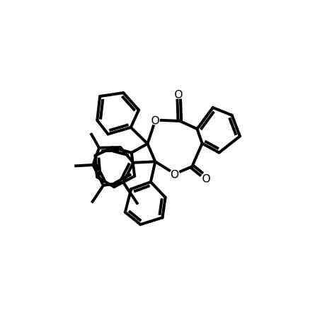 Cc1cc(C2(c3ccccc3)OC(=O)c3ccccc3C(=O)OC2(c2ccccc2)c2ccccc2)c(C)c(C)c1C